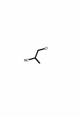 [CH2]C(C#N)CCl